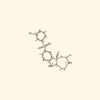 CC1C[C@H]2c3cc(S(=O)(=O)c4cccc(F)c4)ccc3NC2CCN1